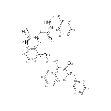 CNN(C(=O)CN1Cc2c(cccc2OCCCC(=O)N(Cc2ccccc2)Cc2ccccc2)N=C1N)c1ccccc1C